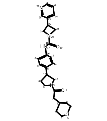 O=C(CC1CCOCC1)N1CCC(c2ccc(NC(=O)N3CC(c4cccnc4)C3)cc2)C1